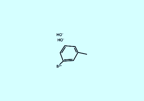 [B+2]c1cccc(C)c1.[OH-].[OH-]